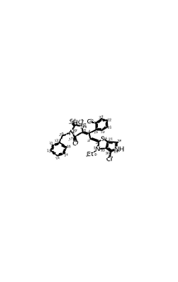 CCN1C(=C/C(=C2/SC(=S)N(Cc3ccccc3)C2=O)c2ccccc2C(=O)O)Sc2c[nH]c(Cl)c21